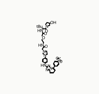 CC(C)(C)[C@H](NC(=O)COCCNC(=O)CN1CCN(c2ccc(Nc3nc4cccc(-c5ccc(S(C)(=O)=O)cc5)n4n3)cc2)C1)C(=O)N1CCC(O)C1